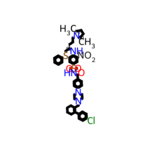 C[C@@H]1CC[C@H](C)N1CCC[C@H](CSc1ccccc1)Nc1ccc(S(=O)(=O)NC(=O)c2ccc(N3CCN(CC4=C(c5ccc(Cl)cc5)CCCC4)CC3)cc2)cc1[N+](=O)[O-]